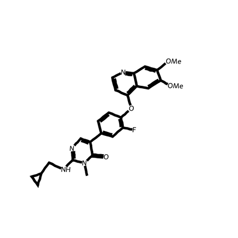 COc1cc2nccc(Oc3ccc(-c4cnc(NCC5CC5)n(C)c4=O)cc3F)c2cc1OC